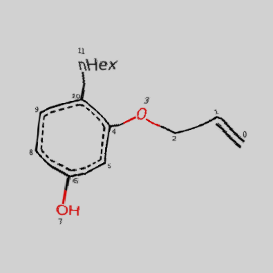 C=CCOc1cc(O)ccc1CCCCCC